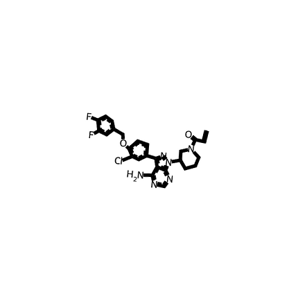 C=CC(=O)N1CCCC(n2nc(-c3ccc(OCc4ccc(F)c(F)c4)c(Cl)c3)c3c(N)ncnc32)C1